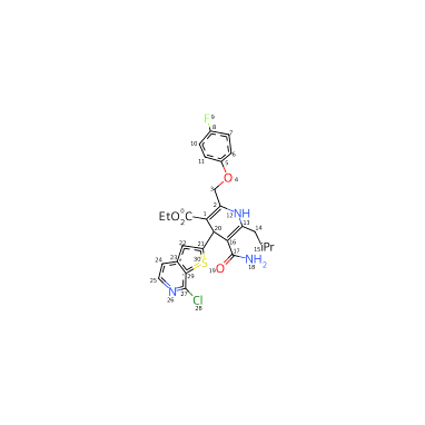 CCOC(=O)C1=C(COc2ccc(F)cc2)NC(CC(C)C)=C(C(N)=O)C1c1cc2ccnc(Cl)c2s1